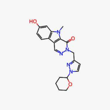 Cn1c2cc(O)ccc2c2cnn(Cc3ccn(C4CCCCO4)n3)c(=O)c21